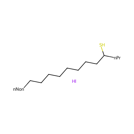 CCCCCCCCCCCCCCCCCC(S)CCC.I